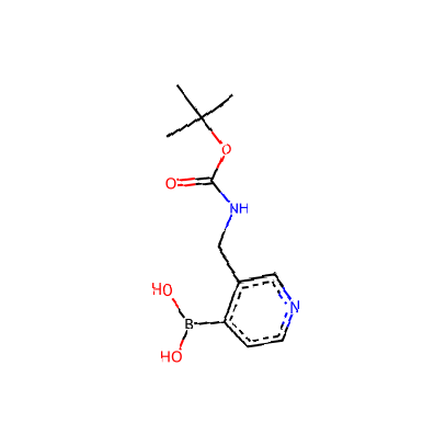 CC(C)(C)OC(=O)NCc1cnccc1B(O)O